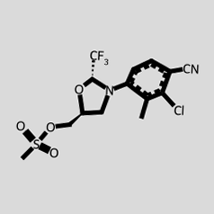 Cc1c(N2C[C@@H](COS(C)(=O)=O)O[C@@H]2C(F)(F)F)ccc(C#N)c1Cl